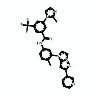 Cc1ccc(NC(=O)c2cc(-n3ccnc3C)cc(C(F)(F)F)c2)cc1-n1ccn2nc(-c3cccnc3)cc12